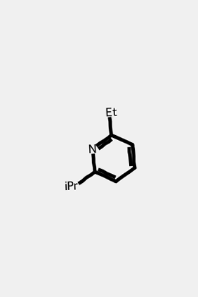 CCc1cccc(C(C)C)n1